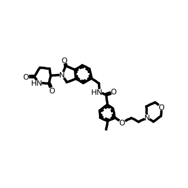 Cc1ccc(C(=O)NCc2ccc3c(c2)CN(C2CCC(=O)NC2=O)C3=O)cc1OCCN1CCOCC1